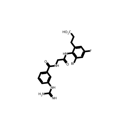 N=C(N)Nc1cccc(C(=O)NCC(=O)Nc2c(Br)cc(F)cc2CCC(=O)O)c1